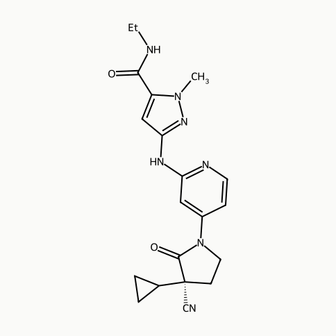 CCNC(=O)c1cc(Nc2cc(N3CC[C@@](C#N)(C4CC4)C3=O)ccn2)nn1C